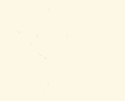 CCc1cc(OCOCC[Si](C)(C)C)c(F)cc1-c1ccc2c(-c3nc(C=NO)cn3COCC[Si](C)(C)C)nn(COCC[Si](C)(C)C)c2c1